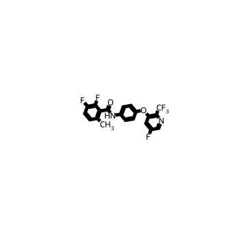 Cc1ccc(F)c(F)c1C(=O)Nc1ccc(Oc2cc(F)cnc2C(F)(F)F)cc1